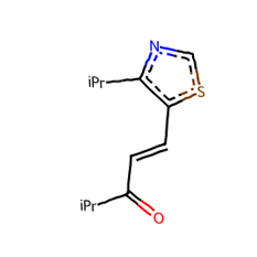 CC(C)C(=O)C=Cc1scnc1C(C)C